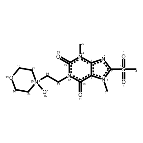 Cn1c(S(C)(=O)=O)nc2c1c(=O)n(CC[N+]1([O-])CCOCC1)c(=O)n2C